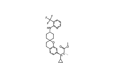 COC(=O)[C@H](C)[C@H](c1ccc2c(c1)OC1(CC2)CCC(Nc2ncccc2C(F)(F)F)CC1)C1CC1